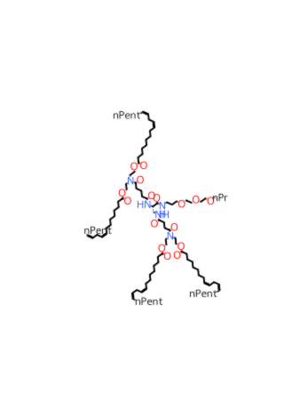 CCCCC/C=C\C/C=C\CCCCCCCC(=O)OCCN(CCOC(=O)CCCCCCC/C=C\C/C=C\CCCCC)C(=O)CCCC(=O)N[C@@H](CNC(=O)CCC(=O)N(CCOC(=O)CCCCCCC/C=C\C/C=C\CCCCC)CCOC(=O)CCCCCCC/C=C\C/C=C\CCCCC)C(=O)NCCCOCCOCCOCCC